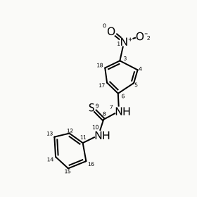 O=[N+]([O-])c1ccc(NC(=S)Nc2ccccc2)cc1